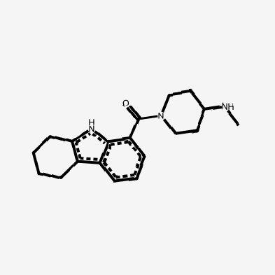 CNC1CCN(C(=O)c2cccc3c4c([nH]c23)CCCC4)CC1